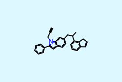 C#CCn1c(-c2ccccc2)cc2ccc(CC(C)c3cccc4c3CC=C4)cc21